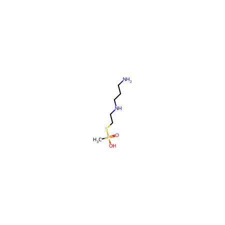 CP(=O)(O)SCCNCCCN